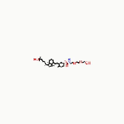 C=C1CC[C@H](OC(=O)NCCOCCOCCO)C/C1=C/C=C1\CCC[C@]2(C)[C@@H]([C@H](C)CCCC(C)(C)O)CC[C@@H]12